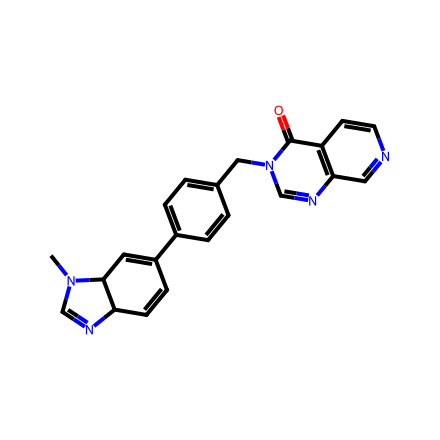 CN1C=NC2C=CC(c3ccc(Cn4cnc5cnccc5c4=O)cc3)=CC21